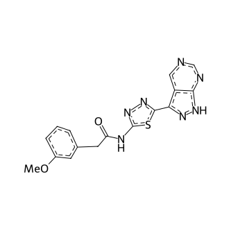 COc1cccc(CC(=O)Nc2nnc(-c3n[nH]c4ncncc34)s2)c1